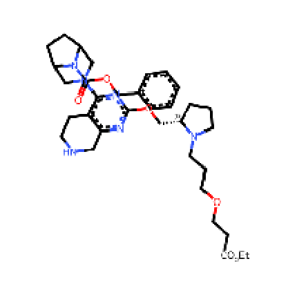 CCOC(=O)CCOCCCN1CCC[C@H]1COc1nc2c(c(N3CC4CCC(C3)N4C(=O)OCc3ccccc3)n1)CCNC2